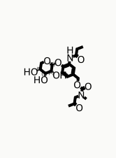 CCC(=O)Nc1cc(COC(=O)N(C)CC(C)=O)ccc1O[C@@H]1OC[C@@H](O)[C@H](O)[C@H]1O